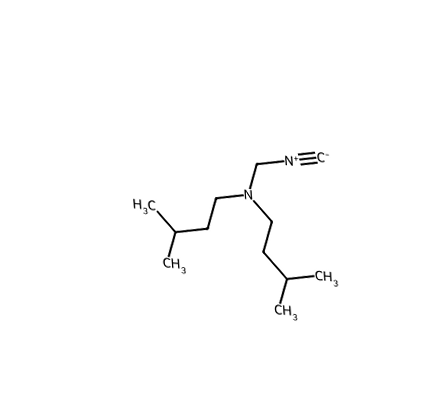 [C-]#[N+]CN(CCC(C)C)CCC(C)C